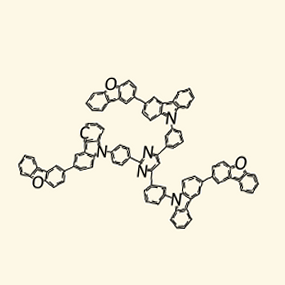 c1cc(-c2cc(-c3cccc(-n4c5ccccc5c5cc(-c6ccc7oc8ccccc8c7c6)ccc54)c3)nc(-c3ccc(-n4c5ccccc5c5cc(-c6ccc7oc8ccccc8c7c6)ccc54)cc3)n2)cc(-n2c3ccccc3c3cc(-c4ccc5oc6ccccc6c5c4)ccc32)c1